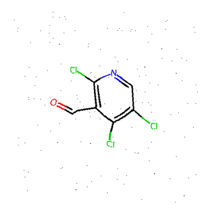 O=Cc1c(Cl)ncc(Cl)c1Cl